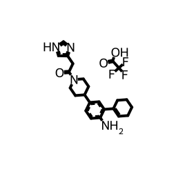 Nc1ccc(C2CCN(C(=O)Cc3c[nH]cn3)CC2)cc1C1=CCCCC1.O=C(O)C(F)(F)F